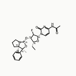 CC[C@H]1O[C@@H](n2ccc(NC(C)=O)nc2=O)C(F)[C@H]1O[P@]1O[C@@](C)(c2ccccc2)[C@H]2CCCN21